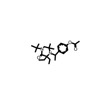 CCC1(CC)C(=O)N(C(C)(C)C)CC(C)(C)N1C(C)c1ccc(OC(C)=O)cc1